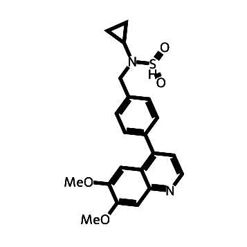 COc1cc2nccc(-c3ccc(CN(C4CC4)[SH](=O)=O)cc3)c2cc1OC